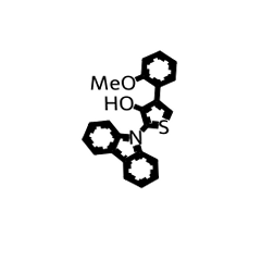 COc1ccccc1-c1csc(-n2c3ccccc3c3ccccc32)c1O